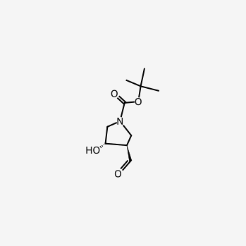 CC(C)(C)OC(=O)N1C[C@@H](O)[C@H](C=O)C1